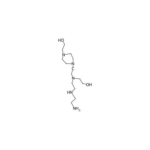 NCCNCCN(CCO)CCN1CCN(CCO)CC1